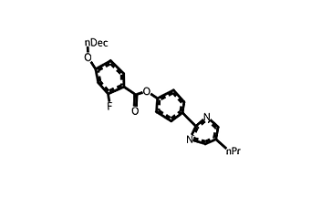 CCCCCCCCCCOc1ccc(C(=O)Oc2ccc(-c3ncc(CCC)cn3)cc2)c(F)c1